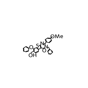 COc1ccc(-c2nc3sc4c(Oc5ccccc5)c(CO)ccc4c3c(=O)n2Cc2ccccc2)cc1